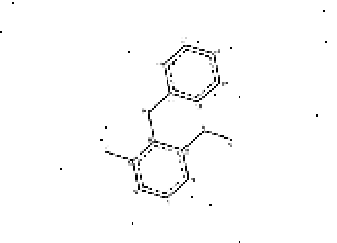 CCc1cccc(C)c1Cc1ccccc1